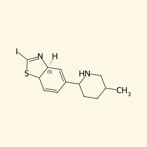 CC1CCC(C2=C[C@@H]3N=C(I)SC3C=C2)NC1